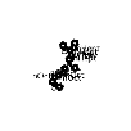 CCCCCCCCC1(CCCCCCCC)c2cc(N(c3ccc(C)cc3)c3ccc4c(c3)C(CCCCCCC)(CCCCCCC)c3c5c(c6c(oc7ccccc76)c3-4)-c3ccccc3C5(CCCCCCC)CCCCCCC)ccc2-c2cc3c(cc21)-c1c(ccc2oc4ccccc4c12)C3(CCCCCCCC)CCCCCCCC